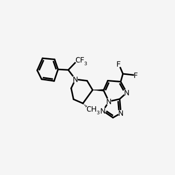 C[C@@H]1CCN(C(c2ccccc2)C(F)(F)F)C[C@H]1c1cc(C(F)F)nc2ncnn12